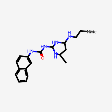 CNCCNC1CC(C)NC(NC(=O)Nc2ccc3ccccc3c2)N1